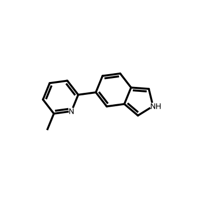 Cc1cccc(-c2ccc3c[nH]cc3c2)n1